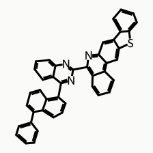 c1ccc(-c2cccc3c(-c4nc(-c5nc6cc7c(cc6c6ccccc56)sc5ccccc57)nc5ccccc45)cccc23)cc1